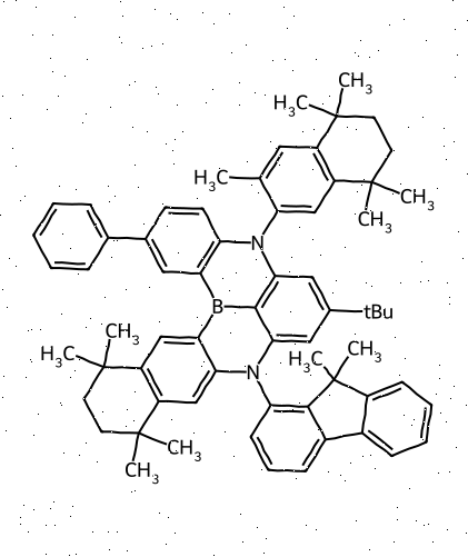 Cc1cc2c(cc1N1c3ccc(-c4ccccc4)cc3B3c4cc5c(cc4N(c4cccc6c4C(C)(C)c4ccccc4-6)c4cc(C(C)(C)C)cc1c43)C(C)(C)CCC5(C)C)C(C)(C)CCC2(C)C